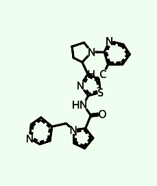 Cc1cccnc1N1CCCC1c1csc(NC(=O)c2cccn2Cc2ccncc2)n1